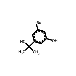 CC(C)(C)c1cc(O)cc(C(C)(C)C#N)c1